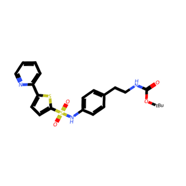 CC(C)(C)OC(=O)NCCc1ccc(NS(=O)(=O)c2ccc(-c3ccccn3)s2)cc1